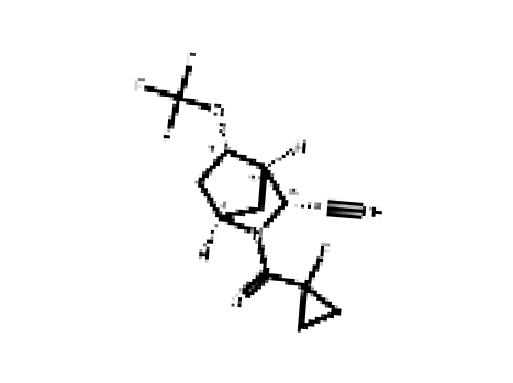 C#C[C@H]1[C@H]2C[C@H](C[C@@H]2OC(F)(F)F)N1C(=O)C1(F)CC1